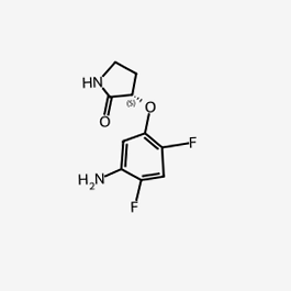 Nc1cc(O[C@H]2CCNC2=O)c(F)cc1F